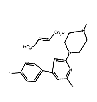 Cc1cc(-c2ccc(F)cc2)cc(N2CCN(C)CC2)n1.O=C(O)C=CC(=O)O